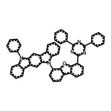 c1ccc(-c2nc(-c3ccccc3)nc(-c3cccc4c3oc3c(-n5c6ccccc6c6cc7c(cc65)c5ccccc5n7-c5ccccc5)cccc34)n2)cc1